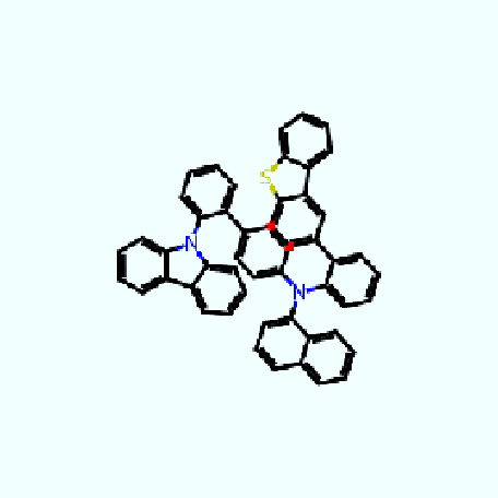 c1ccc(N(c2ccc(-c3ccccc3-n3c4ccccc4c4ccccc43)cc2)c2cccc3ccccc23)c(-c2ccc3sc4ccccc4c3c2)c1